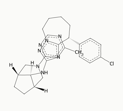 Cc1cc(N2C[C@H]3CC[C@@H](C2)[C@@H]3Nc2nc3n(n2)CCCC[C@@H]3c2ccc(Cl)cc2)ncn1